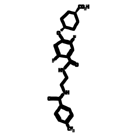 O=C(NCCNC(=O)c1cc(F)c(O[C@H]2CC[C@@H](C(=O)O)CC2)cc1F)c1ccc(C(F)(F)F)cc1